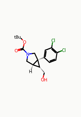 CC(C)(C)OC(=O)N1C[C@@H]2[C@@H](CO)[C@]2(c2ccc(Cl)c(Cl)c2)C1